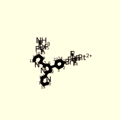 Brc1ccc(-c2cc(-c3ccccn3)nc(-c3ccccn3)c2)cc1.F[B-](F)(F)F.F[B-](F)(F)F.N.[Pt+2]